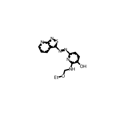 CCOCNc1nc(/N=N/c2snc3ncccc23)ccc1O